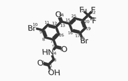 O=C(O)CNC(=O)c1cc(Br)cc(C(=O)c2cc(Br)cc(C(F)(F)F)c2)c1